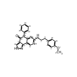 COc1ccc(CCNc2ncc3c4n[nH]cc4c(=O)n(-c4ccccc4)c3n2)cc1